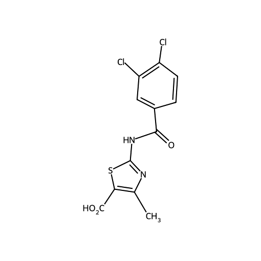 Cc1nc(NC(=O)c2ccc(Cl)c(Cl)c2)sc1C(=O)O